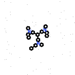 c1ccc(-c2ccc(N(c3ccccc3)c3ccc(-c4cc(-c5ccc6c(c5)c5c7ccccc7ccc5n6-c5ccccc5)cc(-c5ccc6c(c5)c5c7ccccc7ccc5n6-c5ccccc5)c4)cc3)cc2)cc1